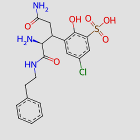 NC(=O)CC(c1cc(Cl)cc(S(=O)(=O)O)c1O)[C@H](N)C(=O)NCCc1ccccc1